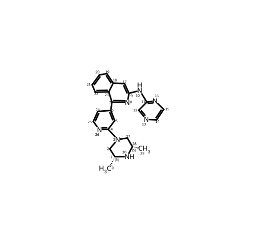 C[C@@H]1CN(c2cc(-c3nc(Nc4cnccn4)cc4ccccc34)ccn2)C[C@H](C)N1